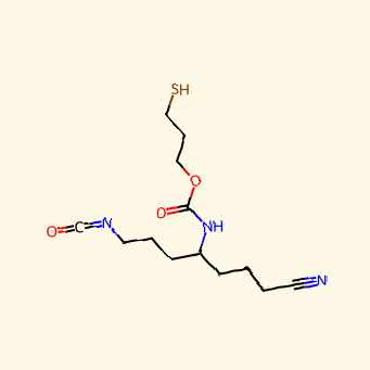 N#CCCCC(CCCN=C=O)NC(=O)OCCCS